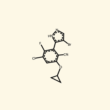 N#Cc1c(OC2CC2)cc(Cl)c(F)c1-c1[nH]ncc1Br